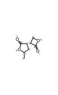 CC1CCC(=O)O1.O=C1CCO1